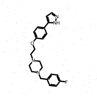 Fc1ccc(CN2CCN(CCOc3ccc(-c4ccn[nH]4)cc3)CC2)cc1